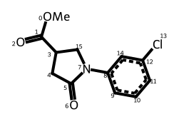 COC(=O)C1CC(=O)N(c2cccc(Cl)c2)C1